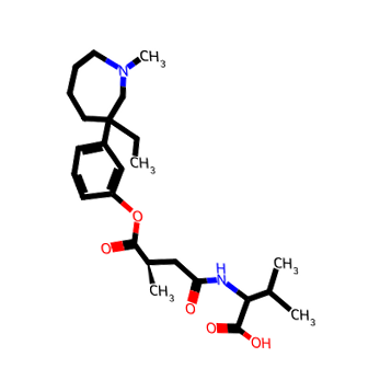 CCC1(c2cccc(OC(=O)[C@H](C)CC(=O)NC(C(=O)O)C(C)C)c2)CCCCN(C)C1